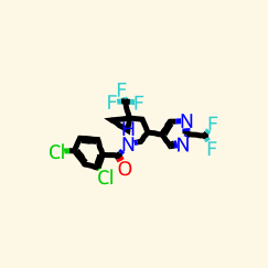 O=C(NCC(CC1(C(F)(F)F)CC1)c1cnc(C(F)F)nc1)c1ccc(Cl)cc1Cl